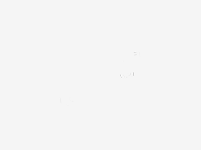 C=Cc1cccc(CC(CC)CCCC)c1